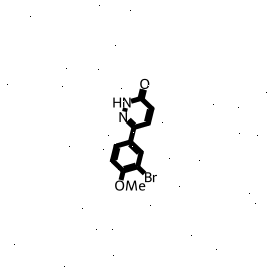 COc1ccc(-c2ccc(=O)[nH]n2)cc1Br